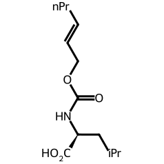 CCC/C=C/COC(=O)N[C@@H](CC(C)C)C(=O)O